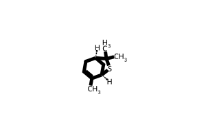 CC1=CC[C@@H]2C[C@H]1SC2(C)C